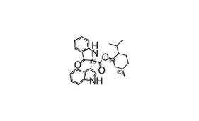 CC(C)C1CC[C@@H](C)C[C@H]1OC(=O)[C@]1(c2c[nH]c3ccccc23)Nc2ccccc2C1=O